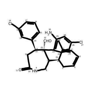 CC1=CC=CC[C@H]1C1CNC(=O)C[C@@H](c2cccc(Cl)c2)[C@@]1(C=O)c1ccc(Cl)cc1N